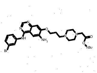 CCCCOC(=O)CN1CCN(CCCOc2cc3ncnc(Nc4cccc(Br)c4)c3cc2N)CC1